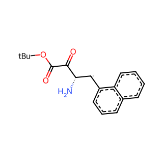 CC(C)(C)OC(=O)C(=O)[C@@H](N)[CH]c1cccc2ccccc12